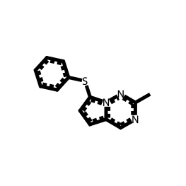 Cc1ncc2ccc(Sc3ccccc3)n2n1